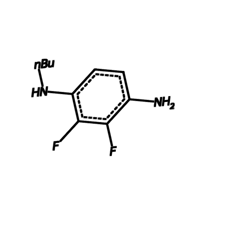 CCCCNc1ccc(N)c(F)c1F